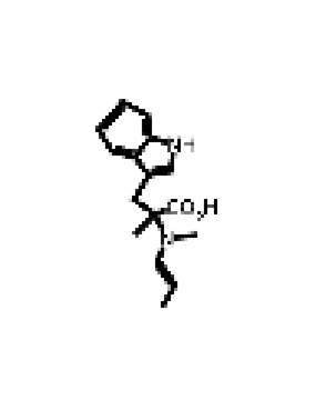 CC=CN(C)C(C)(Cc1c[nH]c2ccccc12)C(=O)O